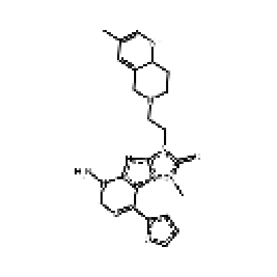 CC1=CNC2CCN(CCn3c(=O)n(C)n4c5c(nc34)N(N)CN=C5c3ccco3)CC2=C1